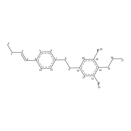 CCC=Cc1ccc(CCc2cc(F)c(CCC)c(F)c2)cc1